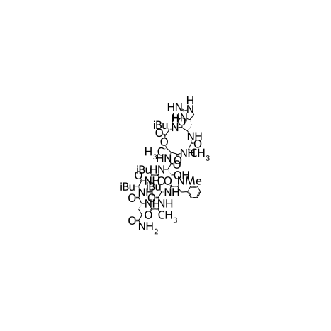 CC[C@H](C)[C@H](NC(=O)[C@@H](Cc1ccccc1)NC)C(=O)N[C@@H](C)C(=O)N[C@H](CCC(N)=O)C(=O)N[C@@H](C(=O)N[C@H](C(=O)N[C@@H](CO)C(=O)N[C@H]1C(=O)N[C@@H](C)C(=O)N[C@@H](C[C@H]2CNC(=N)N2)C(=O)N[C@@H]([C@@H](C)CC)C(=O)O[C@H]1C)[C@@H](C)CC)[C@@H](C)CC